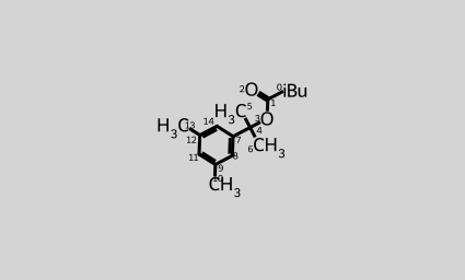 CCC(C)C(=O)OC(C)(C)c1cc(C)cc(C)c1